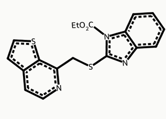 CCOC(=O)n1c(SCc2nccc3ccsc23)nc2ccccc21